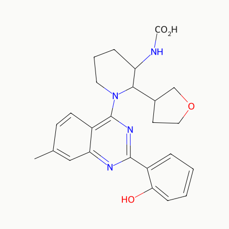 Cc1ccc2c(N3CCCC(NC(=O)O)C3C3CCOC3)nc(-c3ccccc3O)nc2c1